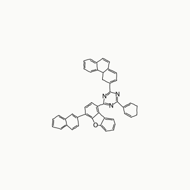 C1=CC(c2nc(C3=CC=C4C=Cc5ccccc5C4C3)nc(-c3ccc(-c4ccc5ccccc5c4)c4oc5ccccc5c34)n2)=CCC1